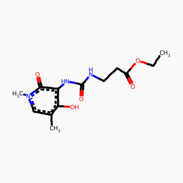 CCOC(=O)CCNC(=O)Nc1c(O)c(C)cn(C)c1=O